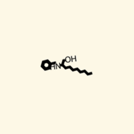 CCCCCCCCC(CO)NCc1ccccc1